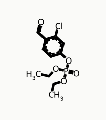 CCOP(=O)(OCC)Oc1ccc(C=O)c(Cl)c1